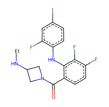 CCNC1CN(C(=O)c2ccc(F)c(F)c2Nc2ccc(I)cc2F)C1